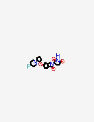 O=C1CCC(N2Cc3cc(O[C@@H]4CCC[C@H]4N4CCC(F)CC4)ccc3C2=O)C(=O)N1